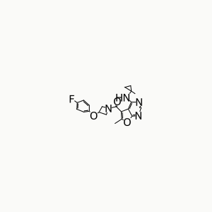 Cc1oc2ncnc(NC3(C)CC3)c2c1C(=O)N1CC(Oc2ccc(F)cc2)C1